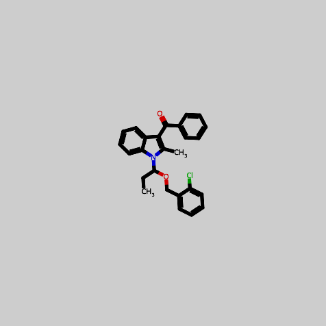 CCC(OCc1ccccc1Cl)n1c(C)c(C(=O)c2ccccc2)c2ccccc21